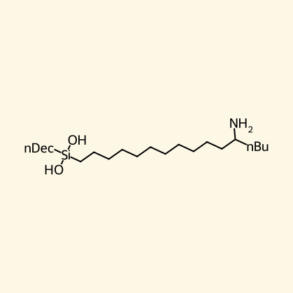 CCCCCCCCCC[Si](O)(O)CCCCCCCCCCCC(N)CCCC